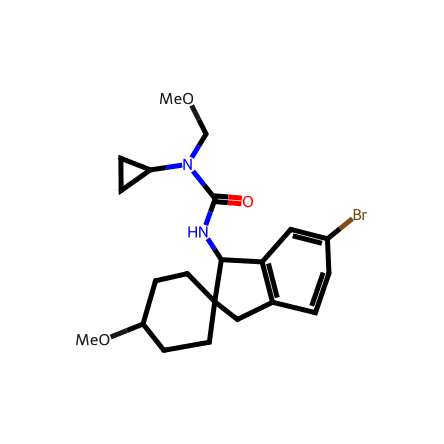 COCN(C(=O)NC1c2cc(Br)ccc2CC12CCC(OC)CC2)C1CC1